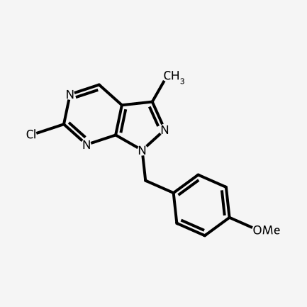 COc1ccc(Cn2nc(C)c3cnc(Cl)nc32)cc1